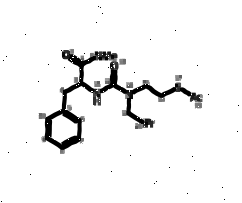 CNC(=O)C(Cc1ccccc1)NC(=O)N(CCSC(C)=O)CC(C)C